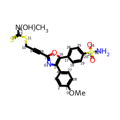 COc1ccc(-c2nc(C#CCSC(=S)N(C)O)oc2-c2ccc(S(N)(=O)=O)cc2)cc1